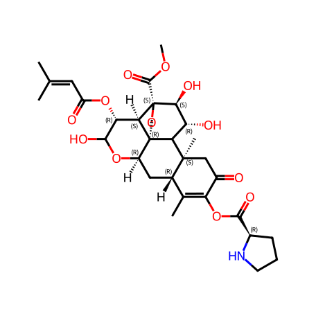 COC(=O)[C@@]12OC[C@]34C([C@@H](O)[C@@H]1O)[C@@]1(C)CC(=O)C(OC(=O)[C@H]5CCCN5)=C(C)[C@@H]1C[C@H]3OC(O)[C@H](OC(=O)C=C(C)C)[C@@H]24